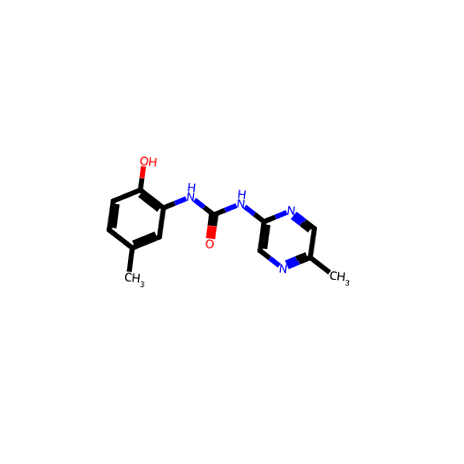 Cc1ccc(O)c(NC(=O)Nc2cnc(C)cn2)c1